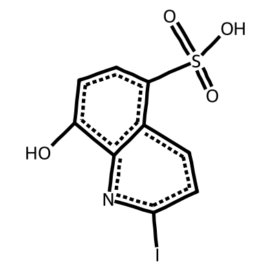 O=S(=O)(O)c1ccc(O)c2nc(I)ccc12